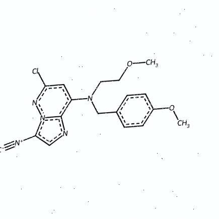 [C-]#[N+]c1cnc2c(N(CCOC)Cc3ccc(OC)cc3)cc(Cl)nn12